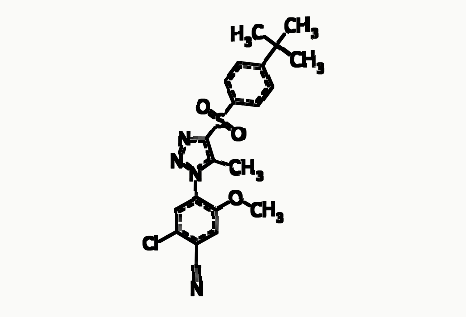 COc1cc(C#N)c(Cl)cc1-n1nnc(S(=O)(=O)c2ccc(C(C)(C)C)cc2)c1C